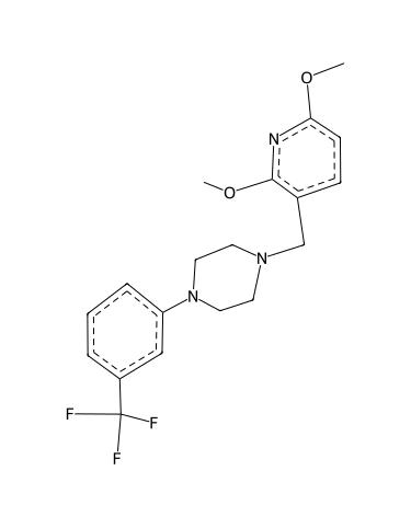 COc1ccc(CN2CCN(c3cccc(C(F)(F)F)c3)CC2)c(OC)n1